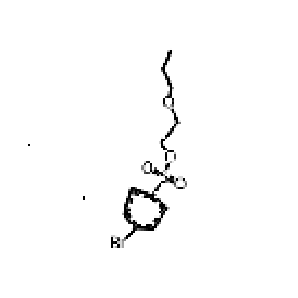 CCCOCCOS(=O)(=O)c1ccc(Br)cc1